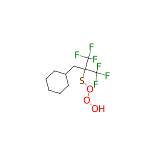 OOOSC(CC1CCCCC1)(C(F)(F)F)C(F)(F)F